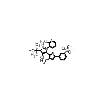 Cc1cc(-c2cccc(S(C)(=O)=O)c2)sc1C1=C(Cl)C(C(C)(C)O)NN1c1cccnc1C(F)(F)F